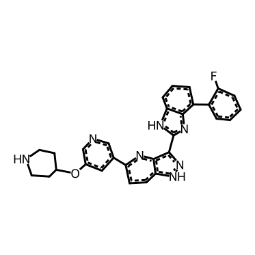 Fc1ccccc1-c1cccc2[nH]c(-c3n[nH]c4ccc(-c5cncc(OC6CCNCC6)c5)nc34)nc12